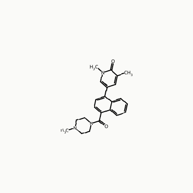 Cc1cc(-c2ccc(C(=O)N3CCN(C)CC3)c3ccccc23)cn(C)c1=O